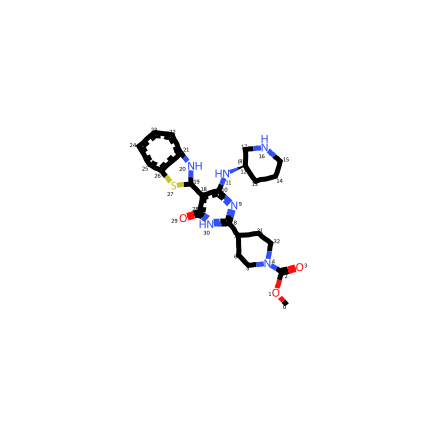 COC(=O)N1CCC(c2nc(N[C@@H]3CCCNC3)c(C3Nc4ccccc4S3)c(=O)[nH]2)CC1